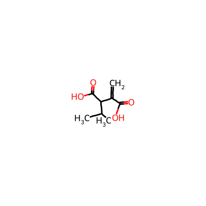 C=C(C(=O)O)C(C(=O)O)C(C)C